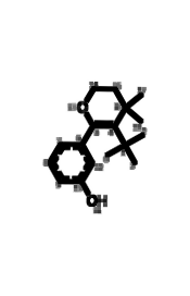 CC(C)(C)C1=C(c2cccc(O)c2)OCCC1(C)C